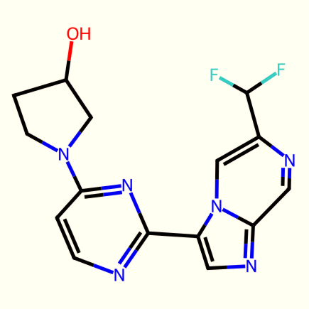 OC1CCN(c2ccnc(-c3cnc4cnc(C(F)F)cn34)n2)C1